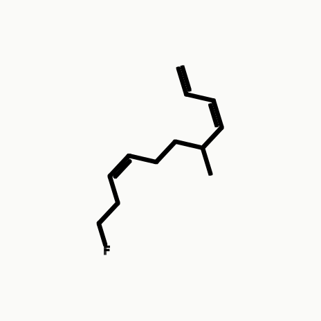 C=C/C=C\C(C)CC/C=C\CCF